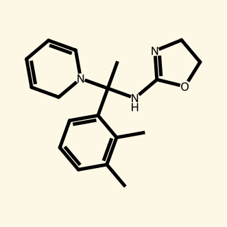 Cc1cccc(C(C)(NC2=NCCO2)N2C=CC=CC2)c1C